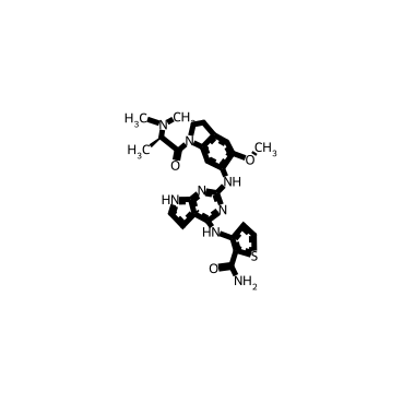 COc1cc2c(cc1Nc1nc(Nc3ccsc3C(N)=O)c3cc[nH]c3n1)N(C(=O)[C@@H](C)N(C)C)CC2